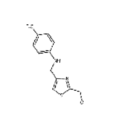 [O]Cc1nc(CNc2ccc(C(F)(F)F)cc2)cs1